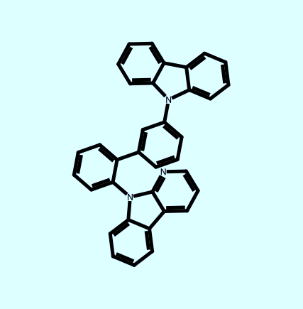 c1cc(-c2ccccc2-n2c3ccccc3c3cccnc32)cc(-n2c3ccccc3c3ccccc32)c1